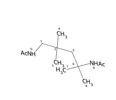 CC(=O)NCC(C)(C)CC(C)(C)NC(C)=O